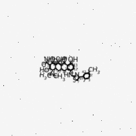 Cc1cccc(-c2csc(Nc3ccc(O)c4c3CC3CC5C(N(C)C)C(O)=C(C(N)=O)C(=O)C5(O)C(O)=C3C4=O)n2)c1